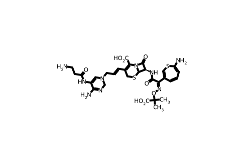 CC(C)(O/N=C(\C(=O)N[C@@H]1C(=O)N2C(C(=O)O)=C(/C=C/CN3C=C(NC(=O)CCN)C(N)=NC3)CSC12)C1=CSC(N)=CC=C1)C(=O)O